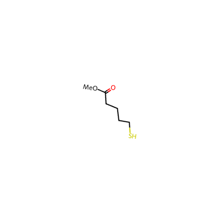 COC(=O)CCCCS